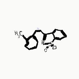 Cc1ccccc1/C=C\C1=NS(=O)(=O)c2ccccc21